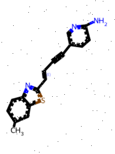 Cc1ccc2nc(/C=C/C#Cc3ccc(N)nc3)sc2c1